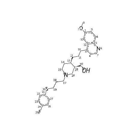 COc1ccc2nccc(CCC[C@@H]3CCN(CCCSc4ccc(F)cc4)C[C@@H]3CO)c2c1